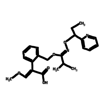 CCC(O/N=C(\OCc1ccccc1/C(=C\OC)C(=O)O)C(C)C)c1ccccn1